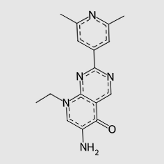 CCn1cc(N)c(=O)c2cnc(-c3cc(C)nc(C)c3)nc21